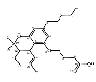 CCCCCc1cc(OCCCC(=O)O)c2c(c1)OC(C)(C)C1CCC(C)=CC21